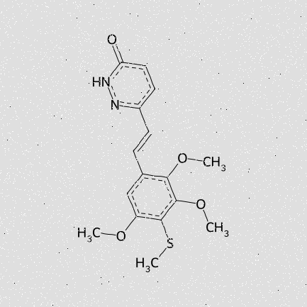 COc1cc(C=Cc2ccc(=O)[nH]n2)c(OC)c(OC)c1SC